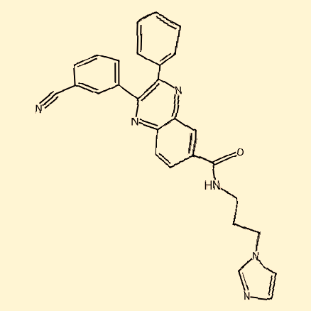 N#Cc1cccc(-c2nc3ccc(C(=O)NCCCn4ccnc4)cc3nc2-c2ccccc2)c1